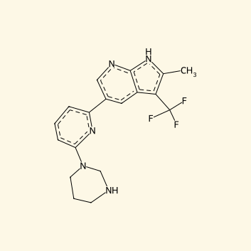 Cc1[nH]c2ncc(-c3cccc(N4CCCNC4)n3)cc2c1C(F)(F)F